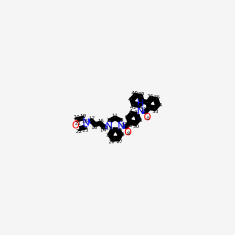 O=C(Nc1ccc(C(=O)N2CCCN(CCCCN3CCOCC3)c3ccccc32)cc1)c1ccccc1-c1ccccc1